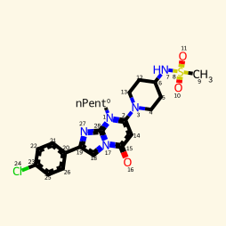 CCCCCn1c(N2CCC(NS(C)(=O)=O)CC2)cc(=O)n2cc(-c3ccc(Cl)cc3)nc12